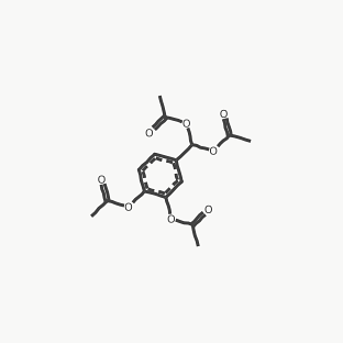 CC(=O)Oc1ccc(C(OC(C)=O)OC(C)=O)cc1OC(C)=O